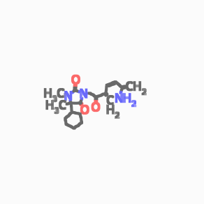 C=C(N)/C=C\C(=C)C(=O)CN1C(=O)N(C)C(C)(C2CCCCC2)C1=O